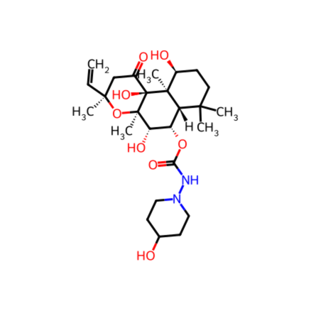 C=C[C@@]1(C)CC(=O)[C@]2(O)[C@@]3(C)[C@@H](O)CCC(C)(C)[C@@H]3[C@H](OC(=O)NN3CCC(O)CC3)[C@H](O)[C@@]2(C)O1